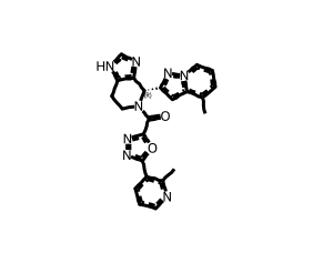 Cc1ncccc1-c1nnc(C(=O)N2CCc3[nH]cnc3[C@@H]2c2cc3c(C)cccn3n2)o1